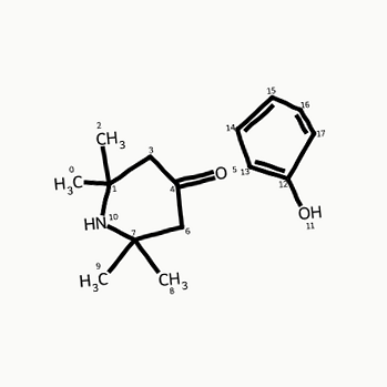 CC1(C)CC(=O)CC(C)(C)N1.Oc1ccccc1